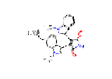 COCc1ccc2c(C3=C(c4cn(C)c5ccccc45)C(=O)NC3=O)cn(C)c2c1